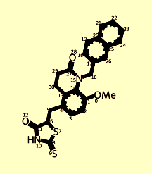 COc1ccc(CC2SC(=S)NC2=O)c2c1N(Cc1ccc3ccccc3c1)C(=O)CC2